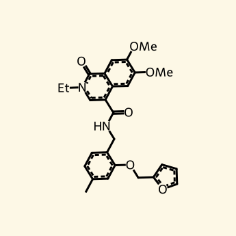 CCn1cc(C(=O)NCc2ccc(C)cc2OCc2ccco2)c2cc(OC)c(OC)cc2c1=O